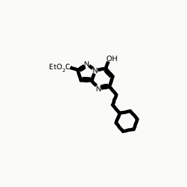 CCOC(=O)c1cc2nc(CCC3CCCCC3)cc(O)n2n1